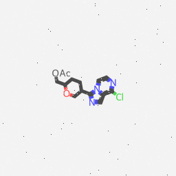 CC(=O)OCC1CCC(c2ncc3c(Cl)nccn23)CO1